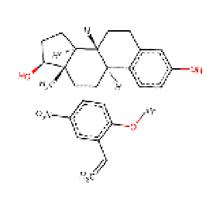 C=Cc1cc([N+](=O)[O-])ccc1OC(C)C.C[C@]12CC[C@@H]3c4ccc(O)cc4CC[C@H]3[C@@H]1CC[C@@H]2O